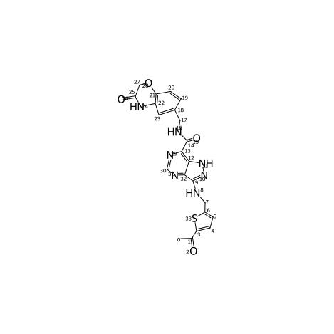 CC(=O)c1ccc(CNc2n[nH]c3c(C(=O)NCc4ccc5c(c4)NC(=O)CO5)ncnc23)s1